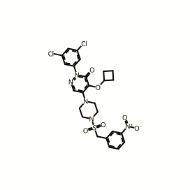 O=c1c(OC2CCC2)c(N2CCN(S(=O)(=O)Cc3cccc([N+](=O)[O-])c3)CC2)cnn1-c1cc(Cl)cc(Cl)c1